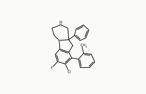 Cc1ccccc1-c1c(Cl)c(F)cc2c1CC1(c3ccccc3)CNCCN21